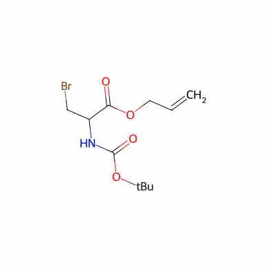 C=CCOC(=O)C(CBr)NC(=O)OC(C)(C)C